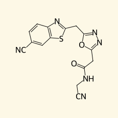 N#CCNC(=O)Cc1nnc(Cc2nc3ccc(C#N)cc3s2)o1